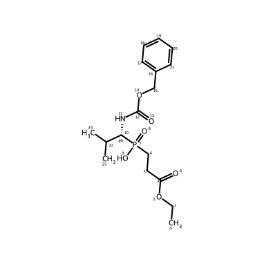 CCOC(=O)CCP(=O)(O)[C@@H](NC(=O)OCc1ccccc1)C(C)C